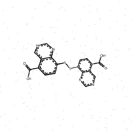 O=C(O)c1ccc(SSc2ccc(C(=O)O)c3cncnc23)c2ncncc12